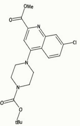 COC(=O)c1cc(N2CCN(C(=O)OC(C)(C)C)CC2)c2ccc(Cl)cc2n1